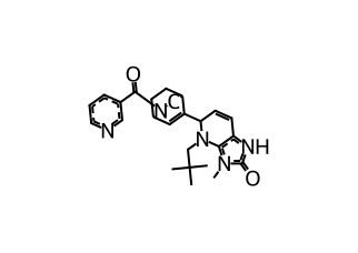 Cn1c2c([nH]c1=O)C=CC(C1=CC3CCC1CN3C(=O)c1cccnc1)N2CC(C)(C)C